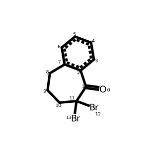 O=C1c2ccccc2CCCC1(Br)Br